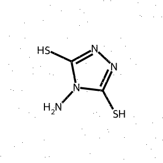 Nn1c(S)nnc1S